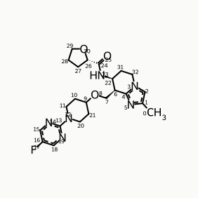 Cc1cn2c(n1)[C@@H](COC1CCN(c3ncc(F)cn3)CC1)[C@@H](NC(=O)[C@@H]1CCCO1)CC2